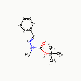 CN(N=Cc1ccccc1)C(=O)OC(C)(C)C